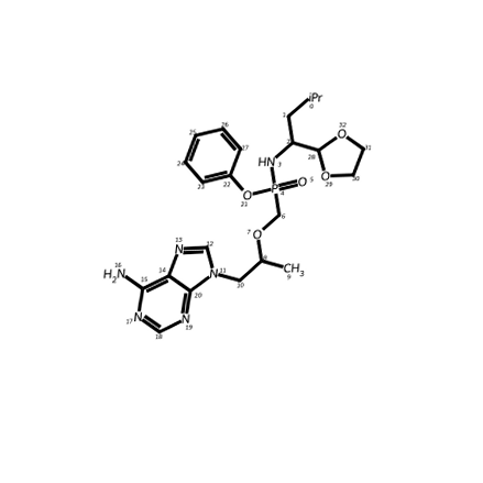 CC(C)CC(NP(=O)(COC(C)Cn1cnc2c(N)ncnc21)Oc1ccccc1)C1OCCO1